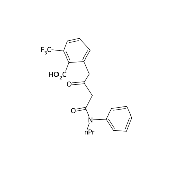 CCCN(C(=O)CC(=O)Cc1cccc(C(F)(F)F)c1C(=O)O)c1ccccc1